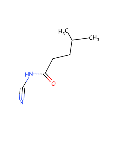 CC(C)CCC(=O)NC#N